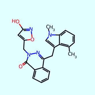 Cc1cccc2c1c(Cc1nn(Cc3cc(O)no3)c(=O)c3ccccc13)cn2C